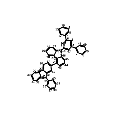 c1ccc(-c2cc(-c3ccccc3)nc(-n3c4ccccc4c4c(-c5ccc6c7ccccc7n(-c7ccccc7)c6c5)cccc43)c2)cc1